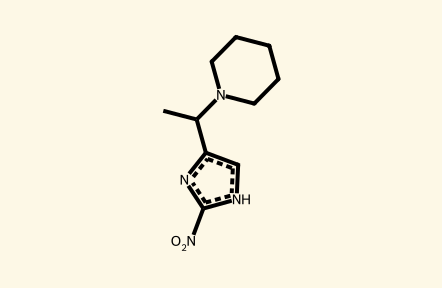 CC(c1c[nH]c([N+](=O)[O-])n1)N1CCCCC1